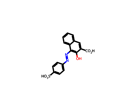 O=C(O)c1cc2ccccc2c(/N=N/c2ccc(S(=O)(=O)O)cc2)c1O